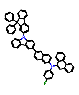 Fc1ccc(N(c2ccc3cc(-c4ccc5c(c4)c4ccccc4n5-c4ccc5c(c4)C(c4ccccc4)(c4ccccc4)c4ccccc4-5)ccc3c2)c2cc3ccccc3c3ccccc23)cc1